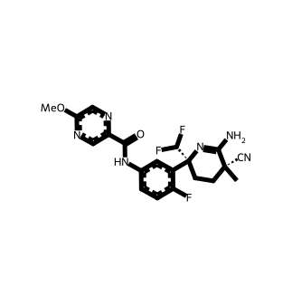 COc1cnc(C(=O)Nc2ccc(F)c([C@]3(C(F)F)CC[C@@](C)(C#N)C(N)=N3)c2)cn1